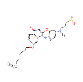 CCOC(=O)CCCCCOc1ccc2c(=O)cc3oc4cc(N(CC)CCC=S(=O)=O)ccc4nc-3c2c1